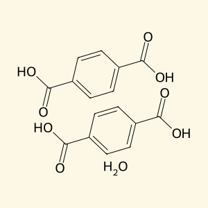 O.O=C(O)c1ccc(C(=O)O)cc1.O=C(O)c1ccc(C(=O)O)cc1